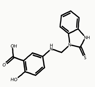 O=C(O)c1cc(NCn2c(=S)[nH]c3ccccc32)ccc1O